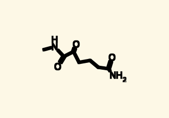 CNC(=O)C(=O)CCCC(N)=O